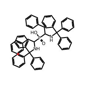 O=P(O)(C(Cc1ccccc1)NC(c1ccccc1)(c1ccccc1)c1ccccc1)C(Cc1ccccc1)NC(c1ccccc1)(c1ccccc1)c1ccccc1